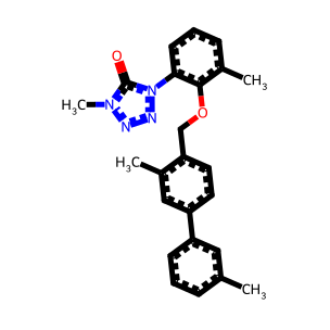 Cc1cccc(-c2ccc(COc3c(C)cccc3-n3nnn(C)c3=O)c(C)c2)c1